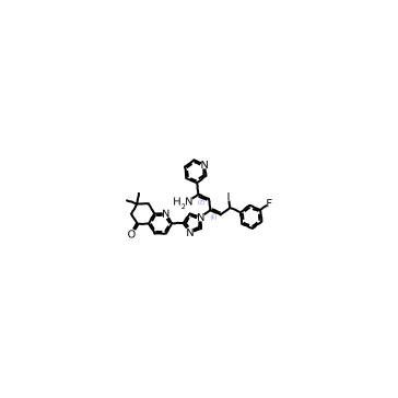 CC1(C)CC(=O)c2ccc(-c3cn(C(/C=C(\N)c4cccnc4)=C/C(I)c4cccc(F)c4)cn3)nc2C1